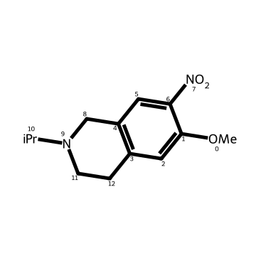 COc1cc2c(cc1[N+](=O)[O-])CN(C(C)C)CC2